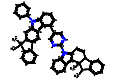 CC1c2ccccc2C2C=Cc3c(c4ccccc4n3-c3ncc(-c4cccc5c4c4cc6c(cc4n5-c4ccccc4)C(C)(C)c4ccccc4-6)cn3)C12C